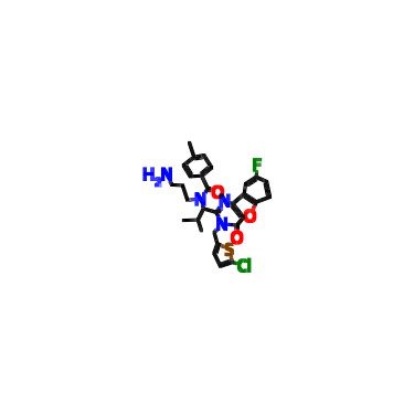 Cc1ccc(C(=O)N(CCCN)C(c2nc3c(oc4ccc(F)cc43)c(=O)n2Cc2ccc(Cl)s2)C(C)C)cc1